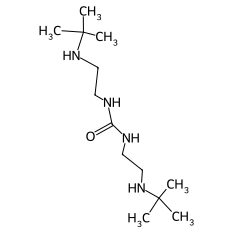 CC(C)(C)NCCNC(=O)NCCNC(C)(C)C